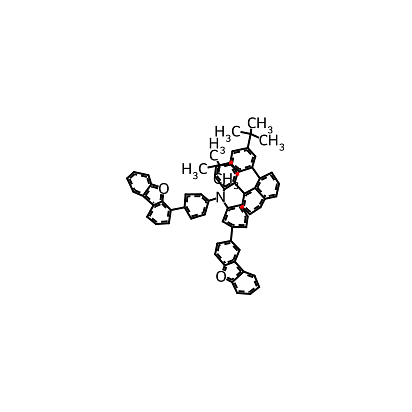 CC(C)(C)c1cc(-c2cccc3cccc(-c4ccccc4N(c4ccc(-c5cccc6c5oc5ccccc56)cc4)c4cccc(-c5ccc6oc7ccccc7c6c5)c4)c23)cc(C(C)(C)C)c1